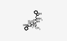 CC(C)C[C@@H](NC(=O)[C@@H](N)Cc1c[nH]c2ccccc12)C(=O)N[C@@H](Cc1c[nH]c2ccccc12)C(=O)O